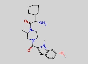 COc1ccc2cc(C(=O)N3CCN(C(=O)C(N)C4CCCCC4)C(C)C3)n(C)c2c1